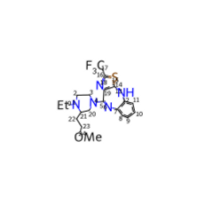 CCN1CCN(C2=Nc3ccccc3Nc3sc(C(F)(F)F)nc32)CC1CCOC